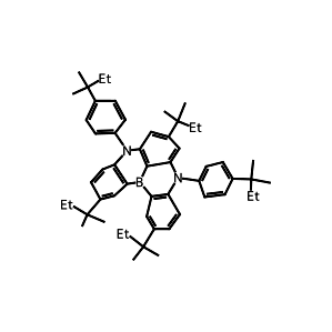 CCC(C)(C)c1ccc(N2c3ccc(C(C)(C)CC)cc3B3c4cc(C(C)(C)CC)ccc4N(c4ccc(C(C)(C)CC)cc4)c4cc(C(C)(C)CC)cc2c43)cc1